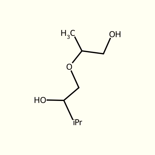 CC(CO)OCC(O)C(C)C